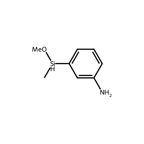 CO[SiH](C)c1cccc(N)c1